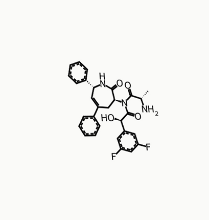 C[C@H](N)C(=O)N(C(=O)[C@H](O)c1cc(F)cc(F)c1)[C@H]1CC(c2ccccc2)=C[C@H](c2ccccc2)NC1=O